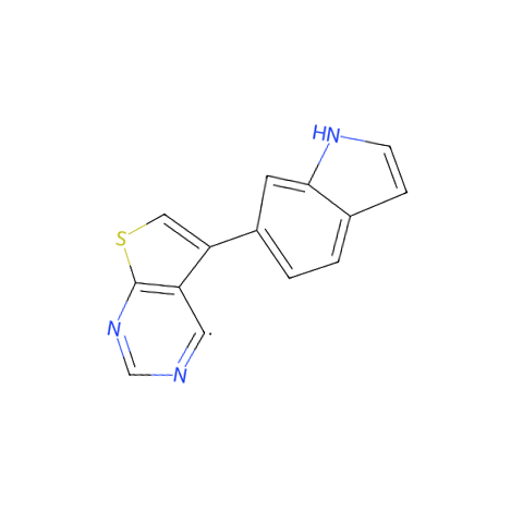 [c]1ncnc2scc(-c3ccc4cc[nH]c4c3)c12